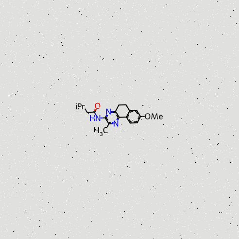 COc1ccc2c(c1)CCc1nc(NC(=O)CC(C)C)c(C)nc1-2